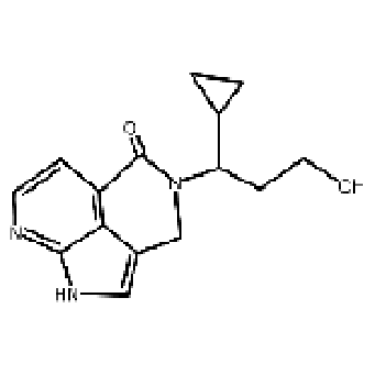 O=C1c2ccnc3[nH]cc(c23)CN1C(CCO)C1CC1